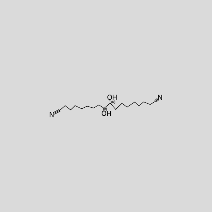 N#CCCCCCCC[C@@H](O)[C@H](O)CCCCCCCC#N